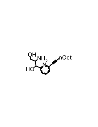 CCCCCCCCC#Cc1cccc(C(O)C(N)CO)n1